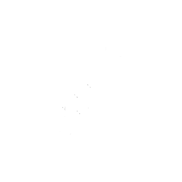 [2H]C([2H])(O)CC1CCN(c2ccn3c(n2)nc2ccccc23)CC1